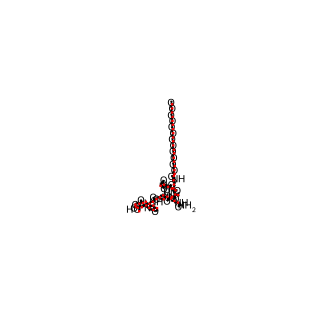 CC[C@@]1(O)C(=O)OCc2c1cc1n(c2=O)Cc2c-1nc1cc3c(cc1c2CNC(=O)OCc1ccc(NC(=O)[C@H](CCCNC(N)=O)NC(=O)[C@@H](NC(=O)[C@H](CCCCNC(=O)CCOCCOCCOCCOCCOCCOCCOCCOCCOCCOCCOCCOC)NC(=O)CCN2C(=O)C=CC2=O)C(C)C)cc1)CCO3